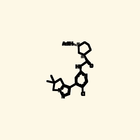 CC(=O)N[C@@H]1CCC[C@@H](C(=O)Nc2cc(-c3cnn4c3CC(C)(C)C4)c(Cl)cn2)C1